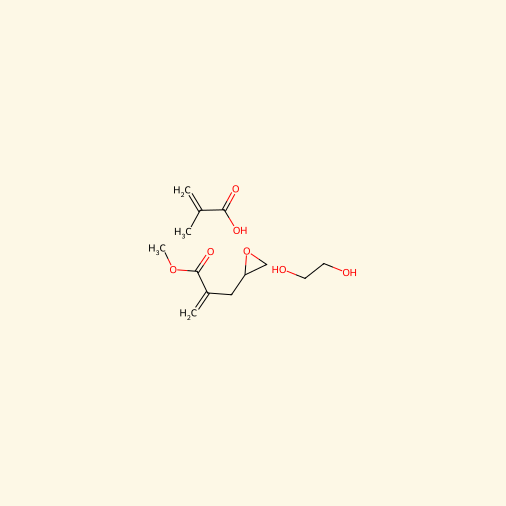 C=C(C)C(=O)O.C=C(CC1CO1)C(=O)OC.OCCO